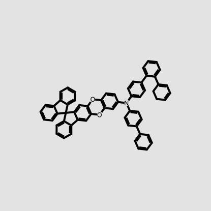 C1=CCCC(c2ccccc2-c2ccc(N(c3ccc(-c4ccccc4)cc3)c3ccc4c(c3)Oc3cc5c(cc3O4)C3(c4ccccc4-c4ccccc43)c3ccccc3-5)cc2)=C1